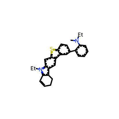 CCN(C)c1ccccc1-c1ccc2sc3cc4c(cc3c2c1)c1c(n4CC)C=CCC1